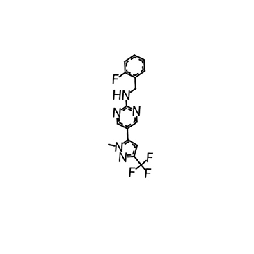 Cn1nc(C(F)(F)F)cc1-c1cnc(NCc2ccccc2F)nc1